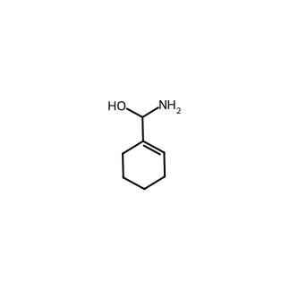 NC(O)C1=CCCCC1